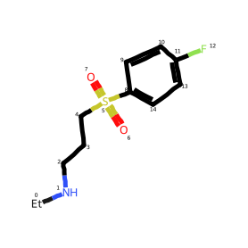 CCNCCCS(=O)(=O)c1ccc(F)cc1